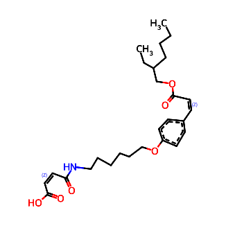 CCCCC(CC)COC(=O)/C=C\c1ccc(OCCCCCCNC(=O)/C=C\C(=O)O)cc1